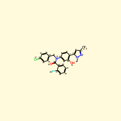 Cn1nc(C(F)(F)F)cc1-c1ccc(N(Cc2ccc(Cl)cc2)C(=O)c2ccccc2F)cc1O